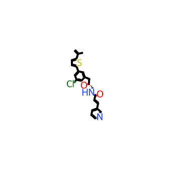 C=C(C)c1ccc(-c2cc(Cl)c3c(c2)C[C@H](CNC(=O)/C=C/c2cccnc2)O3)s1